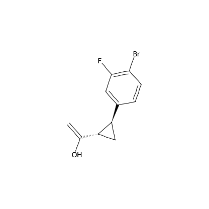 C=C(O)[C@H]1C[C@@H]1c1ccc(Br)c(F)c1